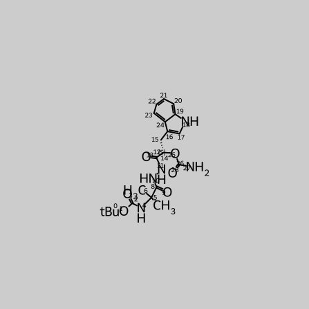 CC(C)(C)OC(=O)NC(C)(C)C(=O)NNC(=O)[C@H](Cc1c[nH]c2ccccc12)OC(N)=O